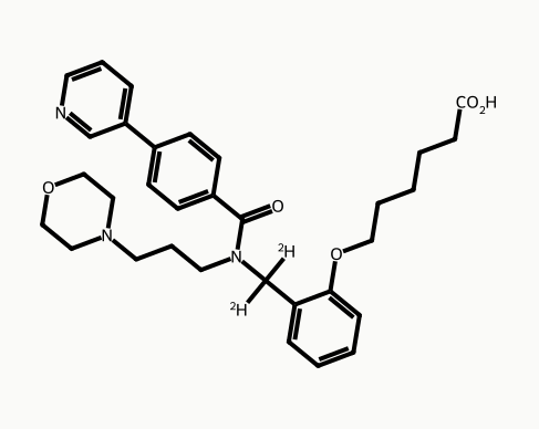 [2H]C([2H])(c1ccccc1OCCCCCC(=O)O)N(CCCN1CCOCC1)C(=O)c1ccc(-c2cccnc2)cc1